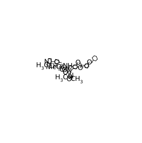 COC(=O)[C@H](Cc1ccc(-c2ccnc(C)c2C)cc1)NC(=O)[C@@H]1Cc2cc3c(cc2CN1C(=O)c1nc(C)oc1C)O[C@@H](c1cccc(OCC2CCCCC2)c1)CO3